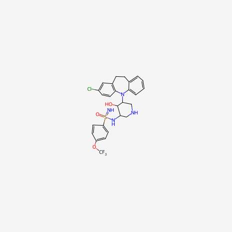 N=S(=O)(NC1CNCC(N2c3ccccc3CCc3cc(Cl)ccc32)C1O)c1ccc(OC(F)(F)F)cc1